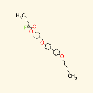 CCCCCCCOc1ccc(-c2ccc(OC[C@H]3CC[C@H](OC(=O)[C@@H](F)CCCC)CC3)cc2)cc1